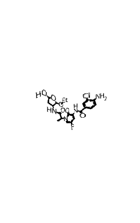 CCOC1OC(O)C[C@@H]1NC(=O)C(C)n1cc(F)cc(NC(=O)c2ccc(N)c(Cl)c2)c1=O